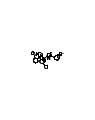 O=C(c1csc(-c2ccc[n+]([O-])c2)n1)N1CCN2C(=O)c3ccccc3C12c1ccc(Cl)cc1